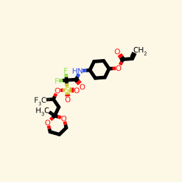 C=CC(=O)OC1CCC(NC(=O)C(F)(F)S(=O)(=O)OC(CC2(C)OCCCO2)C(F)(F)F)CC1